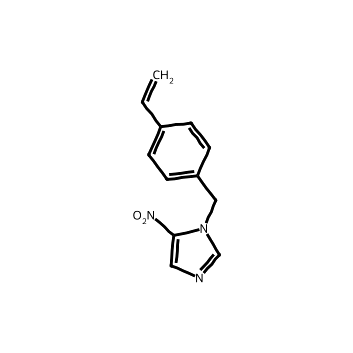 C=Cc1ccc(Cn2cncc2[N+](=O)[O-])cc1